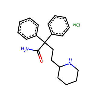 Cl.NC(=O)C(CCC1CCCCN1)(c1ccccc1)c1ccccc1